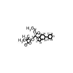 CCOC(=O)/C(=C/OC1OC(=O)C(C)=C1C)n1ccc2cc(-c3ccccc3)ccc21